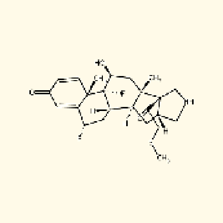 CSCC(=O)[C@@]12CNC[C@@H]1C[C@H]1[C@@H]3C[C@H](F)C4=CC(=O)C=C[C@]4(C)[C@@]3(F)[C@@H](O)C[C@@]12C